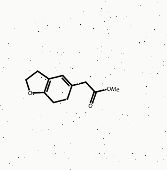 COC(=O)CC1=CC2=C(CC1)OCC2